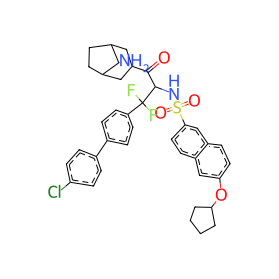 NC1C2CCC1CC(C(=O)C(NS(=O)(=O)c1ccc3cc(OC4CCCC4)ccc3c1)C(F)(F)c1ccc(-c3ccc(Cl)cc3)cc1)C2